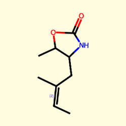 C/C=C(/C)CC1NC(=O)OC1C